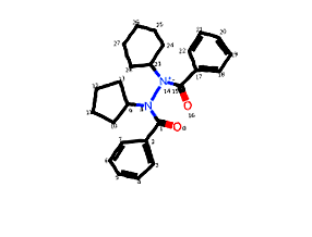 O=C(c1ccccc1)N(C1CCCC1)[N+](C(=O)c1ccccc1)C1CCCCC1